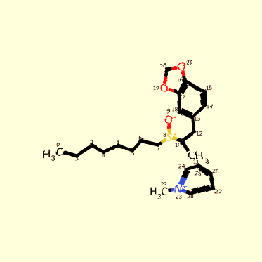 CCCCCCCC[S+]([O-])C(C)Cc1ccc2c(c1)OCO2.C[n+]1ccccc1